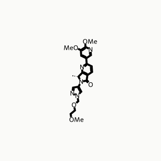 COCCOCn1cc(N2C(=O)c3ccc(-c4cnc(OC)c(OC)c4)nc3[C@H]2C)cn1